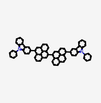 c1ccc(-n2c3ccccc3c3cc(-c4ccc5cc(-c6cc7cccc8c(-c9ccc%10c(c9)c9ccccc9n%10-c9ccccc9)cc9cccc6c9c78)c6cccc7ccc4c5c76)ccc32)cc1